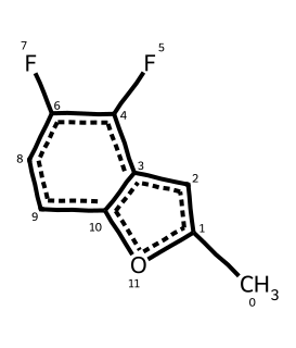 Cc1cc2c(F)c(F)ccc2o1